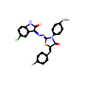 COc1ccc(N2C(=O)C(=Cc3ccc(F)cc3)SC2=NN=C2C(=O)Nc3ccc(Cl)cc32)cc1